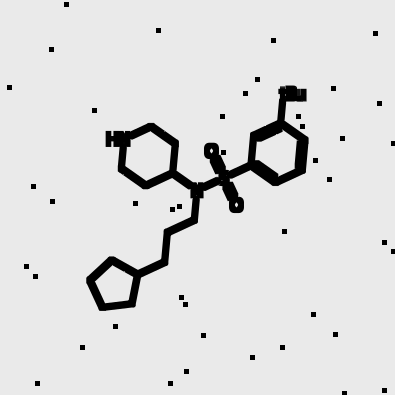 CC(C)(C)c1cccc(S(=O)(=O)N(CCCC2CCCC2)C2CCNCC2)c1